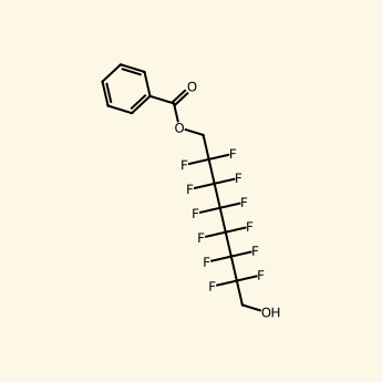 O=C(OCC(F)(F)C(F)(F)C(F)(F)C(F)(F)C(F)(F)C(F)(F)CO)c1ccccc1